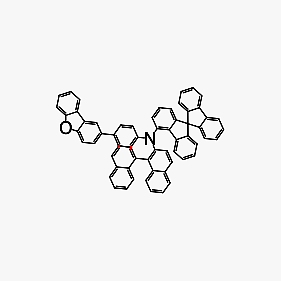 c1ccc2c(c1)-c1ccccc1C21c2ccccc2-c2c(N(c3ccc(-c4ccc5oc6ccccc6c5c4)cc3)c3ccc4ccccc4c3-c3cccc4ccccc34)cccc21